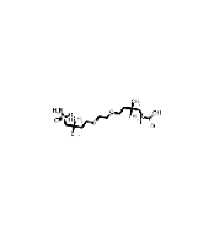 CC(C)(CCOCCOCCC(C)(C)CP(N)(=O)O)CN[PH](=O)O